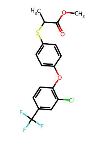 COC(=O)C(C)Sc1ccc(Oc2ccc(C(F)(F)F)cc2Cl)cc1